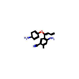 C=C/C=C(/OC1=CCC(N)C=C1)c1cc(C#N)c(C)cc1N